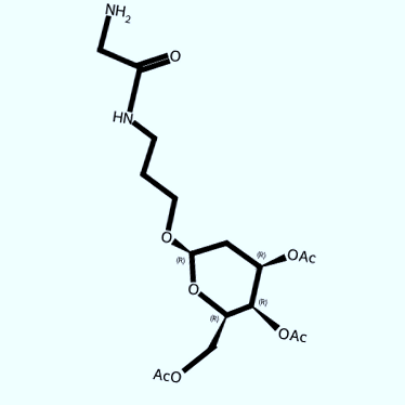 CC(=O)OC[C@H]1O[C@@H](OCCCNC(=O)CN)C[C@@H](OC(C)=O)[C@H]1OC(C)=O